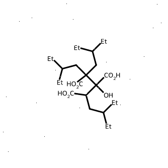 CCC(CC)CC(C(=O)O)C(O)(C(=O)O)C(CC(CC)CC)(CC(CC)CC)C(=O)O